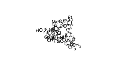 CCc1ccc(COc2ccc(-n3c(=O)cc(C(F)(F)F)n(C)c3=O)cc2)c(OC(C)C(=O)OC)c1.CP(=O)(O)CCC(N)C(=O)O.Nc1c([N+](=O)[O-])ccc(Oc2ccccc2)c1Cl